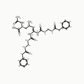 CC(=O)N[C@@H](CC(C)N=C(NC(=O)OCOC(=O)Cc1ccccc1)NC(=O)OCOC(=O)Cc1ccccc1)C(=O)O